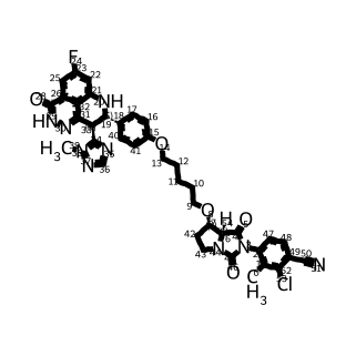 Cc1c(N2C(=O)[C@@H]3[C@H](OCCCCCOc4ccc([C@H]5Nc6cc(F)cc7c(=O)[nH]nc(c67)[C@@H]5c5ncnn5C)cc4)CCN3C2=O)ccc(C#N)c1Cl